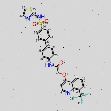 O=C(COc1ccnc2c(C(F)(F)F)cccc12)Nc1ccc(-c2ccc(S(=O)(=O)Nc3nccs3)cc2)cc1